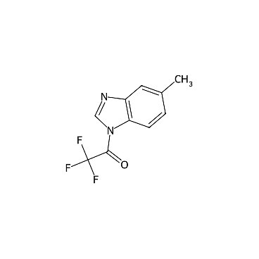 Cc1ccc2c(c1)ncn2C(=O)C(F)(F)F